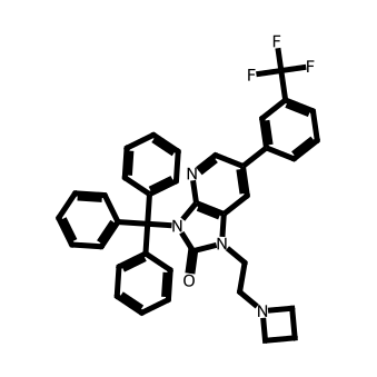 O=c1n(CCN2CCC2)c2cc(-c3cccc(C(F)(F)F)c3)cnc2n1C(c1ccccc1)(c1ccccc1)c1ccccc1